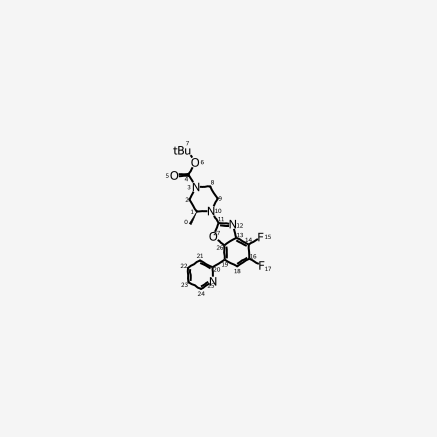 C[C@H]1CN(C(=O)OC(C)(C)C)CCN1c1nc2c(F)c(F)cc(-c3ccccn3)c2o1